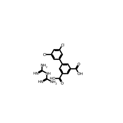 N=C(N)NC(=N)N.O=C(O)c1cc(C(=O)O)cc(-c2cc(Cl)cc(Cl)c2)c1